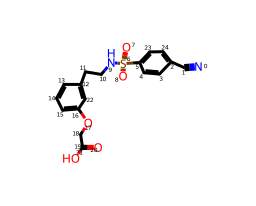 N#Cc1ccc(S(=O)(=O)NCCc2cccc(OCC(=O)O)c2)cc1